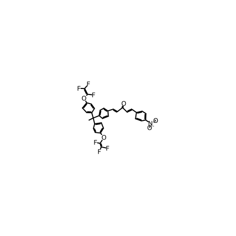 CC(c1ccc(C=CC(=O)C=Cc2ccc([N+](=O)[O-])cc2)cc1)(c1ccc(OC(F)=C(F)F)cc1)c1ccc(OC(F)=C(F)F)cc1